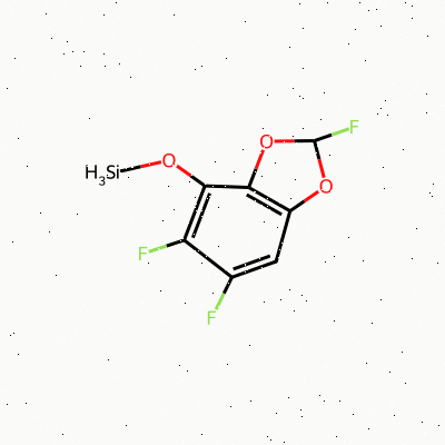 Fc1cc2c(c(O[SiH3])c1F)OC(F)O2